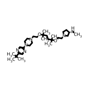 CN[C@H]1CCN(CCOC(C)(C)CCC(C)(C)OCCN2CCN(c3cnc(C(C)(C)C)cn3)CC2)C1